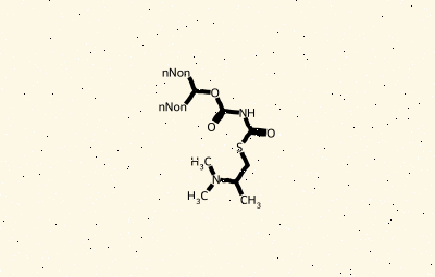 CCCCCCCCCC(CCCCCCCCC)OC(=O)NC(=O)SCC(C)N(C)C